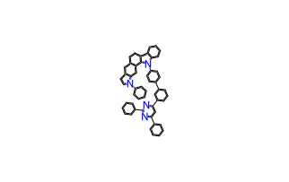 c1ccc(-c2cc(-c3cccc(-c4ccc(-n5c6ccccc6c6ccc7cc8ccn(-c9ccccc9)c8cc7c65)cc4)c3)nc(-c3ccccc3)n2)cc1